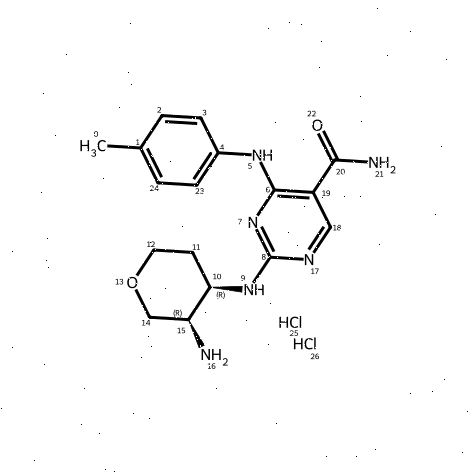 Cc1ccc(Nc2nc(N[C@@H]3CCOC[C@@H]3N)ncc2C(N)=O)cc1.Cl.Cl